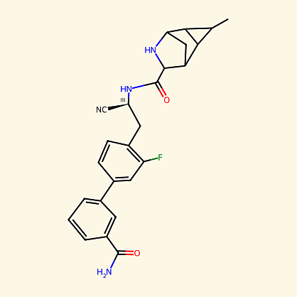 CC1C2C3CC(C(C(=O)N[C@H](C#N)Cc4ccc(-c5cccc(C(N)=O)c5)cc4F)N3)C12